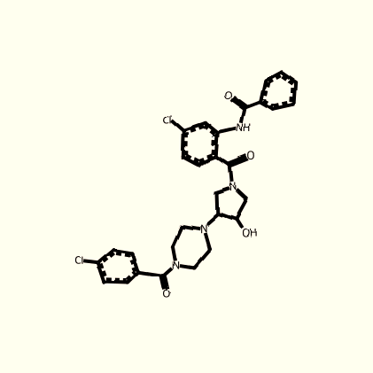 O=C(Nc1cc(Cl)ccc1C(=O)N1CC(O)C(N2CCN(C(=O)c3ccc(Cl)cc3)CC2)C1)c1ccccc1